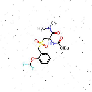 CC(C)COC(=O)N[C@@H](CS(=O)(=O)Cc1ccccc1OC(F)F)C(=O)N(C)C#N